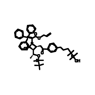 C=CCOC(=O)C(N1C(=O)[C@H]([C@@H](C)O[Si](C)(C)C(C)(C)C)[C@H]1CC(=O)c1ccc(CCCC(C)(C)[Si](C)(C)O)cc1)=P(c1ccccc1)(c1ccccc1)c1ccccc1